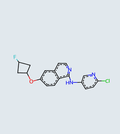 FC1CC(Oc2ccc3c(Nc4ccc(Cl)nc4)nccc3c2)C1